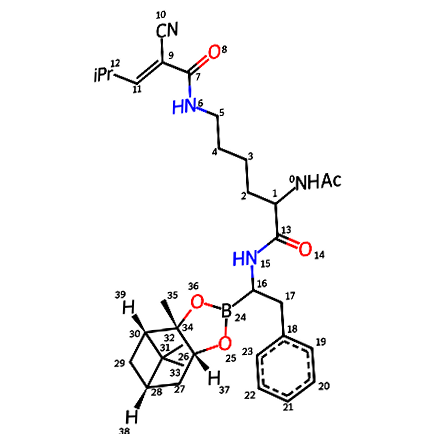 CC(=O)NC(CCCCNC(=O)C(C#N)=CC(C)C)C(=O)NC(Cc1ccccc1)B1O[C@@H]2C[C@@H]3C[C@@H](C3(C)C)[C@]2(C)O1